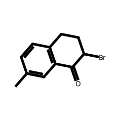 Cc1ccc2c(c1)C(=O)C(Br)CC2